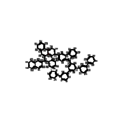 c1ccc(-c2cccc(-c3cc(-c4cccc(-c5ccccc5)c4)cc(-n4c5ccccc5c5cc(-c6ccccc6-c6ccccc6N(c6ccc7ccccc7c6)c6ccc7ccccc7c6)ccc54)c3)c2)cc1